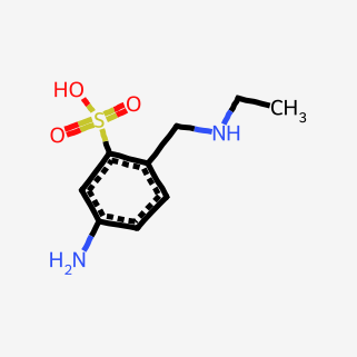 CCNCc1ccc(N)cc1S(=O)(=O)O